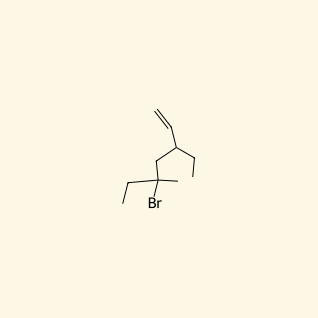 C=CC(CC)CC(C)(Br)CC